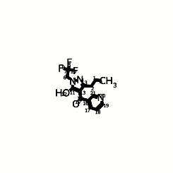 CCCc1nn(CC(F)(F)F)c(O)c1C(=O)c1cccnc1